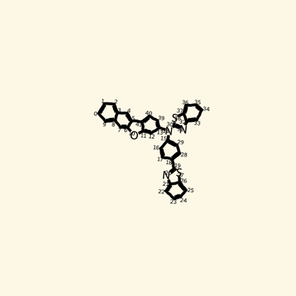 c1ccc2cc3c(cc2c1)oc1cc(N(c2ccc(-c4nc5ccccc5s4)cc2)c2nc4ccccc4s2)ccc13